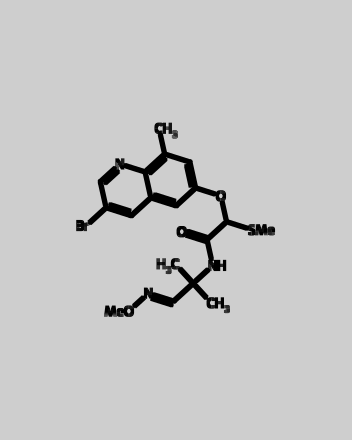 CON=CC(C)(C)NC(=O)C(Oc1cc(C)c2ncc(Br)cc2c1)SC